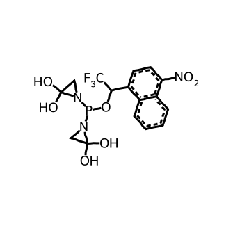 O=[N+]([O-])c1ccc(C(OP(N2CC2(O)O)N2CC2(O)O)C(F)(F)F)c2ccccc12